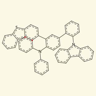 c1ccc(N(c2ccccc2)c2ccc(-c3ccccc3-n3c4ccccc4c4ccccc43)cc2-c2ccc3sc4ccccc4c3c2)cc1